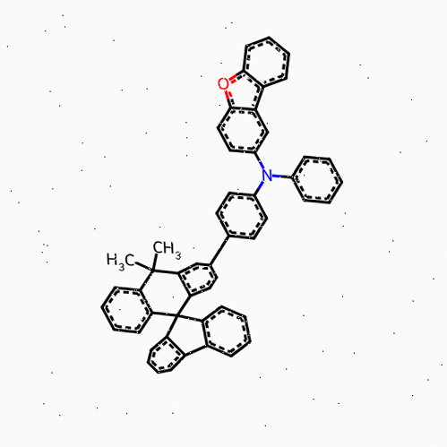 CC1(C)c2ccccc2C2(c3ccccc3-c3ccccc32)c2ccc(-c3ccc(N(c4ccccc4)c4ccc5oc6ccccc6c5c4)cc3)cc21